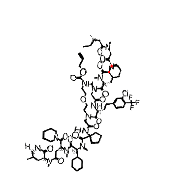 C=CCOC(=O)NCCOCCN(CC(=O)NC1(C(=O)N(C)[C@H](C(=O)N(C)[C@@H](CC(=O)N(C)[C@@H](CC(C)C)C(N)=O)C(=O)N2CCCCC2)C2CCCCC2)CCCC1)C(=O)[C@@H](CCc1ccc(C(F)(F)F)c(Cl)c1)NC(=O)CN(C)C(=O)[C@@H](CC1CCCCC1)N(C)C(=O)CN(C)C(=O)CN(C)C(=O)C[C@@H](C)CC